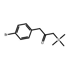 C[Si](C)(C)CC(=O)Cc1ccc(Br)cc1